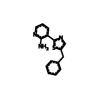 Nc1ncccc1-c1ncc(Cc2ccccc2)s1